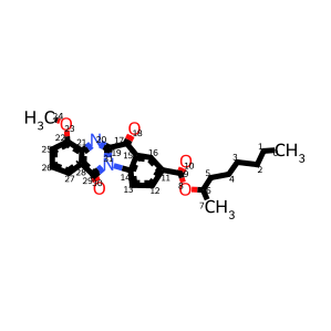 CCCCCCC(C)OC(=O)c1ccc2c(c1)C(=O)c1nc3c(OC)cccc3c(=O)n1-2